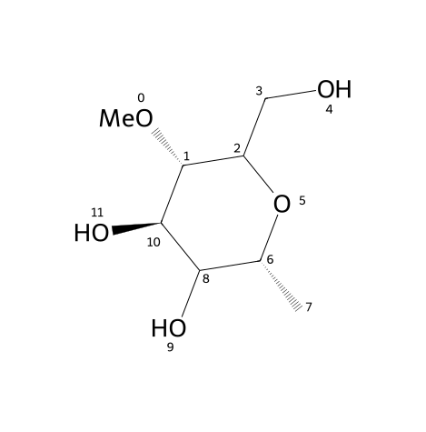 CO[C@@H]1C(CO)O[C@H](C)C(O)[C@H]1O